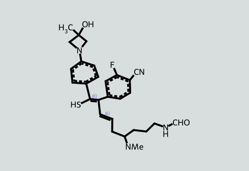 CNC(C/C=C/C(=C(\S)c1ccc(N2CC(C)(O)C2)cc1)c1ccc(C#N)c(F)c1)CCCNC=O